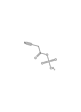 CS(=O)(=O)OC(=O)CC#N